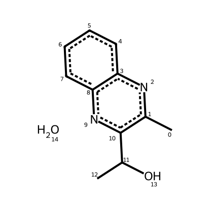 Cc1nc2ccccc2nc1C(C)O.O